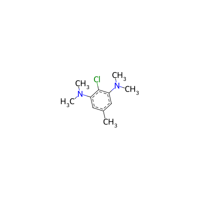 Cc1cc(N(C)C)c(Cl)c(N(C)C)c1